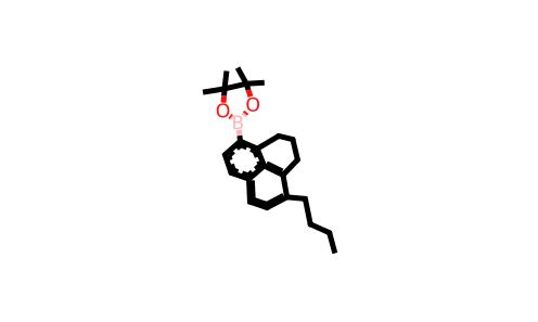 CCCCC1=C=C=c2ccc(B3OC(C)(C)C(C)(C)O3)c3c2=C1CCC3